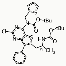 C[C@@H](Cc1sc2c(N(Cc3cccs3)C(=O)OC(C)(C)C)nc(Cl)nc2c1-c1ccccc1)NC(=O)OC(C)(C)C